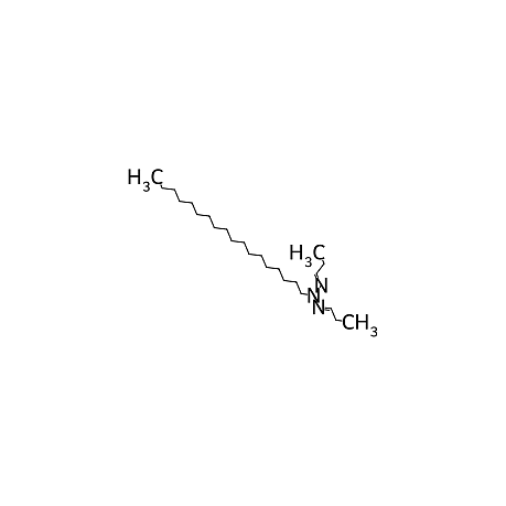 CCC=NN(CCCCCCCCCCCCCCCCCC)N=CCC